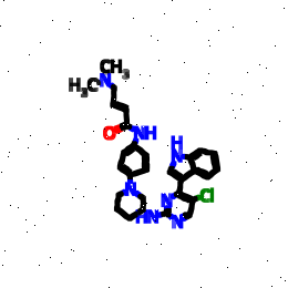 CN(C)C/C=C/C(=O)Nc1ccc(N2CCC[C@@H](Nc3ncc(Cl)c(-c4c[nH]c5ccccc45)n3)C2)cc1